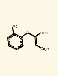 CCOC(=O)C=C(Oc1ccccc1[N+](=O)[O-])C(=O)OCC